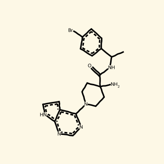 CC(NC(=O)C1(N)CCN(c2ncnc3[nH]ccc23)CC1)c1ccc(Br)cc1